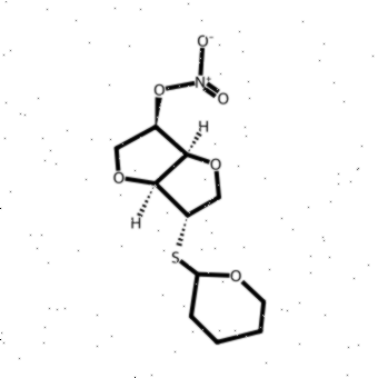 O=[N+]([O-])O[C@@H]1CO[C@H]2[C@@H]1OC[C@@H]2SC1CCCCO1